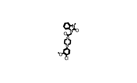 COc1cc(N2CCN(C(=O)Cn3c(=O)n(C)c4ccccc43)CC2)ccc1Cl